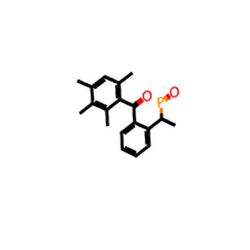 Cc1cc(C)c(C(=O)c2ccccc2C(C)P=O)c(C)c1C